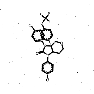 O=C1N(c2ccc(Cl)cc2)C2CCOC[C@]2(c2ccc(OC(F)(F)F)cc2)N1c1ccc(Cl)cc1